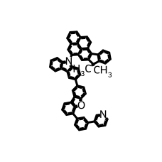 CC1(C)c2ccccc2-c2c1cc1c(-n3c4ccccc4c4cc(-c5ccc6oc7c(-c8cccc(-c9cccnc9)c8)cccc7c6c5)ccc43)cc3cccc4ccc2c1c43